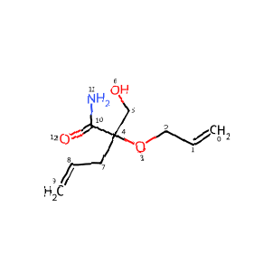 C=CCOC(CO)(CC=C)C(N)=O